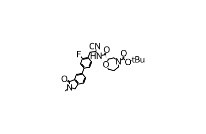 CN1Cc2ccc(-c3ccc(C[C@@H](C#N)NC(=O)[C@@H]4CN(C(=O)OC(C)(C)C)CCCO4)c(F)c3)cc2C1=O